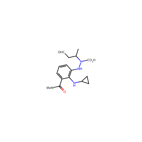 CNC(=O)c1cccc(NN(C(=O)O)C(C)CC=O)c1NC1CC1